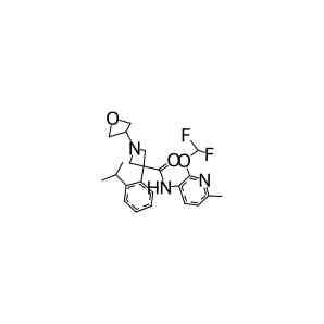 Cc1ccc(NC(=O)C2(c3ccccc3C(C)C)CN(C3COC3)C2)c(OC(F)F)n1